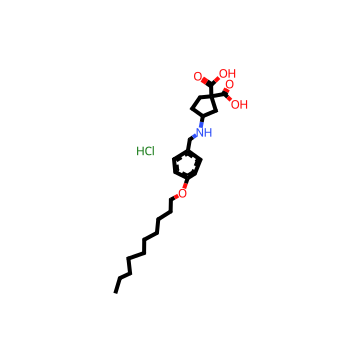 CCCCCCCCCCOc1ccc(CNC2CCC(C(=O)O)(C(=O)O)C2)cc1.Cl